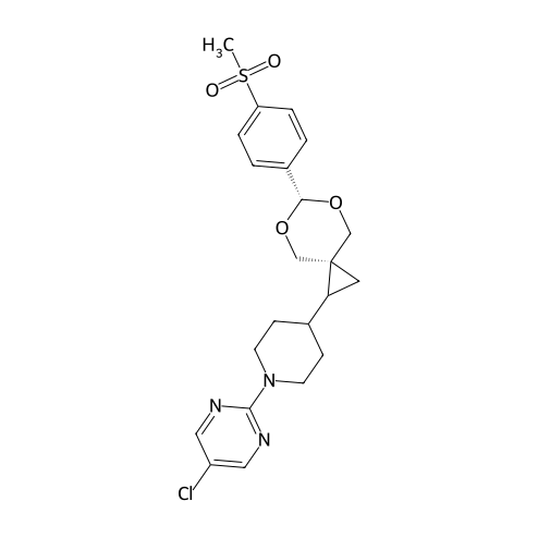 CS(=O)(=O)c1ccc([C@H]2OC[C@]3(CO2)CC3C2CCN(c3ncc(Cl)cn3)CC2)cc1